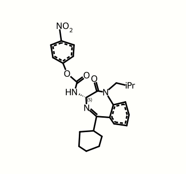 CC(C)CN1C(=O)[C@@H](NC(=O)Oc2ccc([N+](=O)[O-])cc2)N=C(C2CCCCC2)c2ccccc21